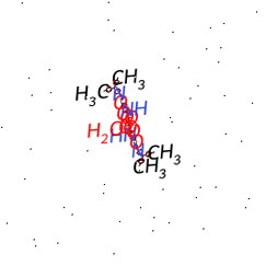 Cc1ccc(C(c2ccc(C)cc2)C2CCN(CCCOc3ccc(NC(=O)COC(=O)/C=C/C(=O)OCC(=O)Nc4ccc(OCCCN5CCC(C(c6ccc(C)cc6)c6ccc(C)cc6)CC5)cc4)cc3)CC2)cc1.O